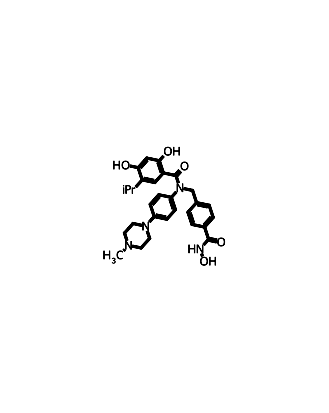 CC(C)c1cc(C(=O)N(Cc2ccc(C(=O)NO)cc2)c2ccc(N3CCN(C)CC3)cc2)c(O)cc1O